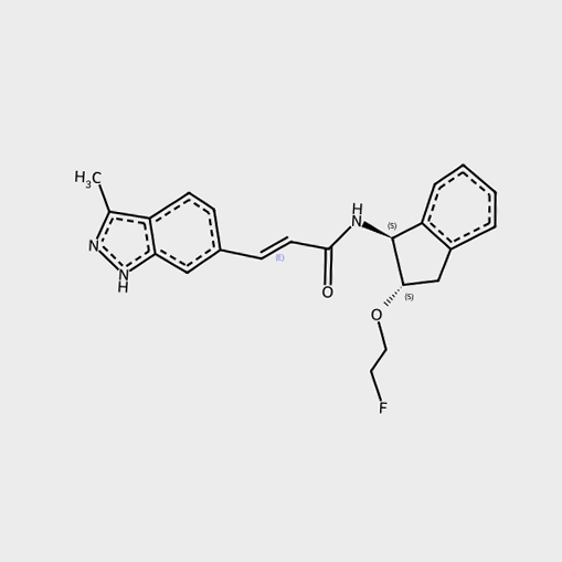 Cc1n[nH]c2cc(/C=C/C(=O)N[C@H]3c4ccccc4C[C@@H]3OCCF)ccc12